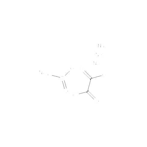 O=C([O-])C(=O)[O-].[Na+].[Na+].[Na+].[Na+].[O]=[Ti]([O-])[O-]